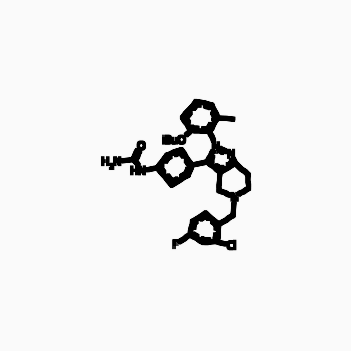 Cc1cccc(OCC(C)C)c1-n1nc2c(c1-c1ccc(NC(N)=O)cc1)CN(Cc1ccc(F)cc1Cl)CC2